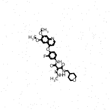 CN/N=C(\C(=O)NCC1CCOCC1)C(=O)Nc1ccc(Oc2ccnc3cc(OC)c(OC)cc23)c(F)c1